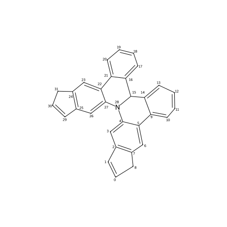 C1=Cc2cc3c(cc2C1)-c1ccccc1C1c2ccccc2-c2cc4c(cc2N31)C=CC4